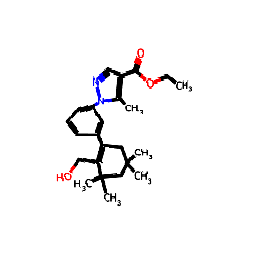 CCOC(=O)c1cnn(-c2cccc(C3=C(CO)C(C)(C)CC(C)(C)C3)c2)c1C